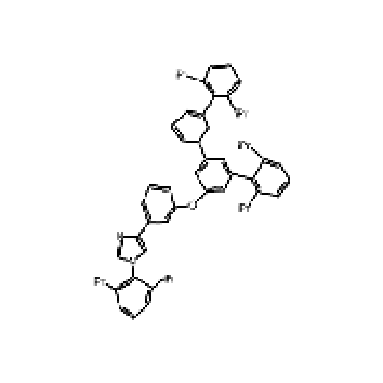 CC(C)c1cccc(C(C)C)c1C1=CC=CC(c2cc(Oc3cccc(-c4cn(-c5c(C(C)C)cccc5C(C)C)cn4)c3)cc(-c3c(C(C)C)cccc3C(C)C)c2)C1